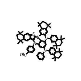 CC(C)(C)c1ccc(N2c3cc(N(c4ccccc4)c4ccc5c(c4)C(C)(C)CCC5(C)C)cc4c3B(c3cc5c(cc3N4c3ccc4c(c3)C(C)(C)CCC4(C)C)C(C)(C)CCC5(C)C)c3sc4cc5c(cc4c32)C(C)(C)CCC5(C)C)cc1